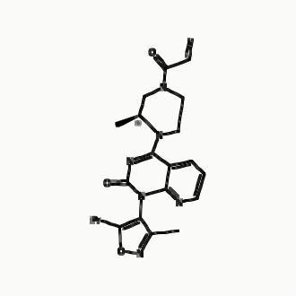 C=CC(=O)N1CCN(c2nc(=O)n(-c3c(C)noc3C(C)C)c3ncccc23)[C@@H](C)C1